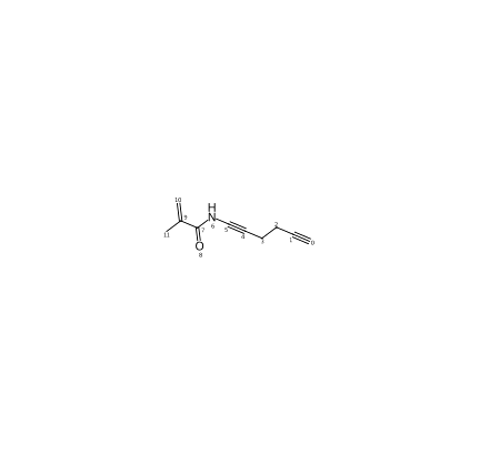 C#CCCC#CNC(=O)C(=C)C